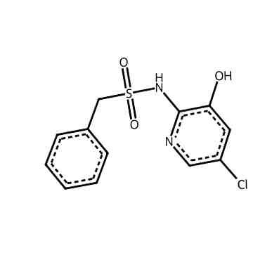 O=S(=O)(Cc1ccccc1)Nc1ncc(Cl)cc1O